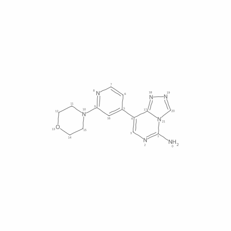 Nc1ncc(-c2ccnc(N3CCOCC3)c2)c2nncn12